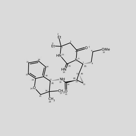 CCC1(CC)CC(=O)N([C@H](CCOC)[C@@H]2C[C@H]2C(=O)N[C@H]2c3ccccc3OCC2(C)C)C(=N)N1